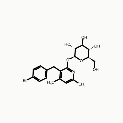 CCc1ccc(Cc2c(C)cc(C)nc2O[C@@H]2O[C@H](CO)[C@@H](O)[C@H](O)[C@H]2O)cc1